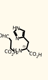 N[C@@H](Cc1c[nH]cn1)C(=O)O.O=CCCC(=O)O